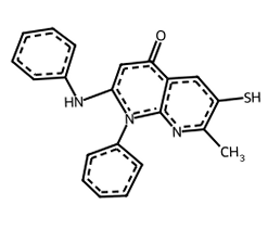 Cc1nc2c(cc1S)c(=O)cc(Nc1ccccc1)n2-c1ccccc1